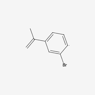 C=C(C)c1cc[c]c(Br)c1